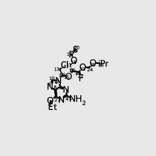 CCOc1nc(N)nc2c1ncn2[C@@H](CCl)O[C@H](COP=S)[C@H](F)OCOC(C)C